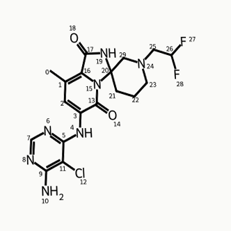 Cc1cc(Nc2ncnc(N)c2Cl)c(=O)n2c1C(=O)NC21CCCN(CC(F)F)C1